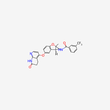 CC12Oc3ccc(Oc4ccnc5c4CCC(=O)N5)cc3[C@H]1[C@@H]2NC(=O)c1cccc(C(F)(F)F)c1